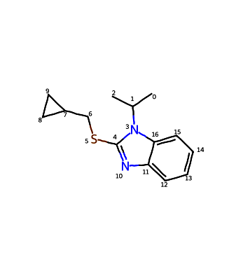 CC(C)n1c(SCC2CC2)nc2ccccc21